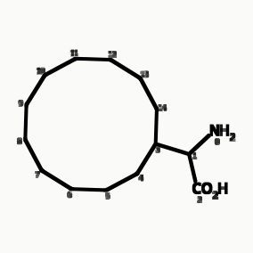 NC(C(=O)O)C1CCCCCCCCCCC1